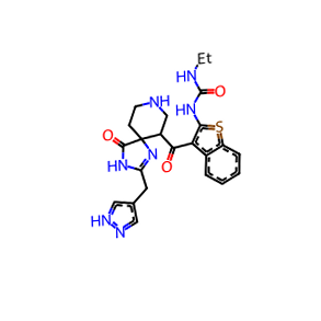 CCNC(=O)Nc1sc2ccccc2c1C(=O)C1CNCCC12N=C(Cc1cn[nH]c1)NC2=O